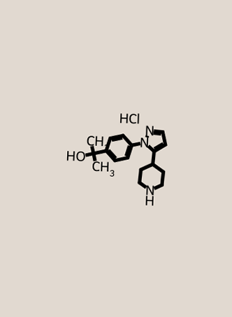 CC(C)(O)c1ccc(-n2nccc2C2CCNCC2)cc1.Cl